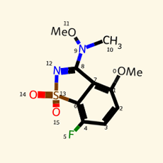 COc1ccc(F)c2c1C(N(C)OC)=NS2(=O)=O